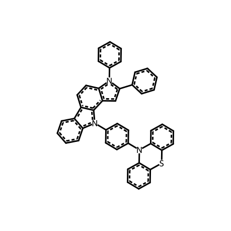 c1ccc(-c2cc3c(ccc4c5ccccc5n(-c5ccc(N6c7ccccc7Sc7ccccc76)cc5)c43)n2-c2ccccc2)cc1